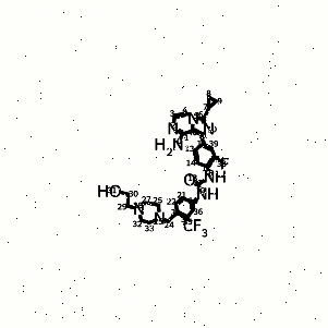 Nc1nccn2c(C3CC3)nc(-c3ccc(NC(=O)Nc4ccc(CN5CCN(CCO)CC5)c(C(F)(F)F)c4)c(F)c3)c12